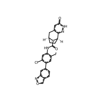 O=C(Nc1cc(Cl)c(-c2ccc3conc3c2)cc1F)N1[C@H]2CC[C@@H]1c1n[nH]c(=O)cc1C2